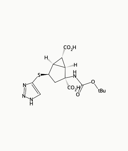 CC(C)(C)OC(=O)N[C@@]1(C(=O)O)C[C@@H](Sc2c[nH]nn2)[C@H]2[C@H](C(=O)O)[C@H]21